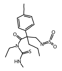 CCCC(CN=S(=O)=O)(C(=O)N(CC)C(=S)NC)c1ccc(C)cc1